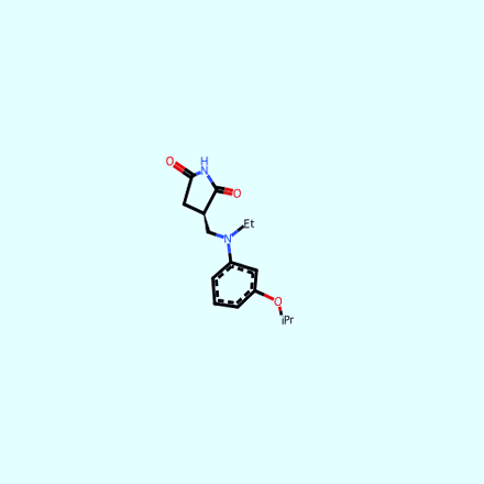 CCN(C[C@H]1CC(=O)NC1=O)c1cccc(OC(C)C)c1